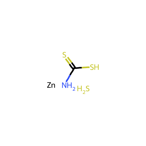 NC(=S)S.S.[Zn]